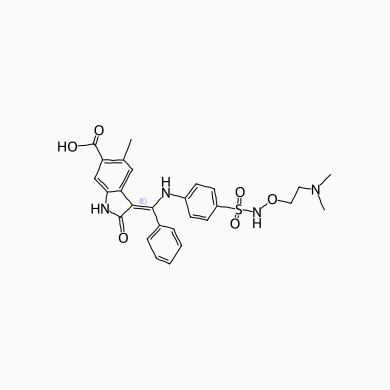 Cc1cc2c(cc1C(=O)O)NC(=O)/C2=C(/Nc1ccc(S(=O)(=O)NOCCN(C)C)cc1)c1ccccc1